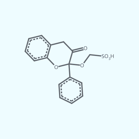 O=C1Cc2ccccc2OC1(OCS(=O)(=O)O)c1ccccc1